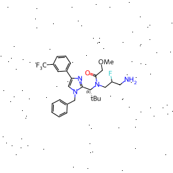 COCC(=O)N(CC(F)CN)[C@@H](c1nc(-c2cccc(C(F)(F)F)c2)cn1Cc1ccccc1)C(C)(C)C